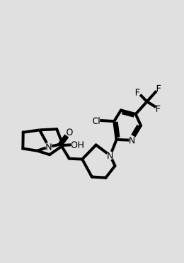 O=C(CC1CCCN(c2ncc(C(F)(F)F)cc2Cl)C1)N1C2CCC1CC(O)C2